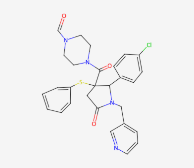 O=CN1CCN(C(=O)C2(Sc3ccccc3)CC(=O)N(Cc3cccnc3)C2c2ccc(Cl)cc2)CC1